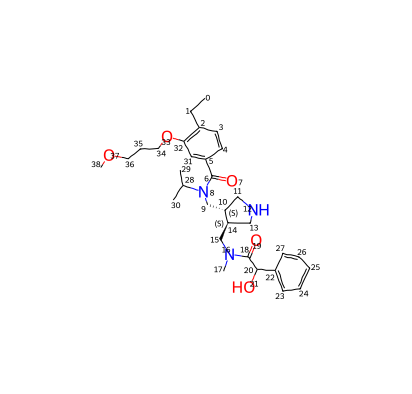 CCc1ccc(C(=O)N(C[C@@H]2CNC[C@H]2CN(C)C(=O)C(O)c2ccccc2)C(C)C)cc1OCCCOC